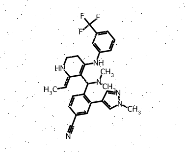 CC=C1NCCC(Nc2cccc(C(F)(F)F)c2)=C1C(c1ccc(C#N)cc1-c1cnn(C)c1)N(C)C